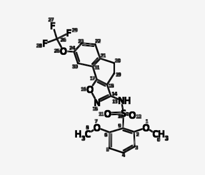 COc1cccc(OC)c1S(=O)(=O)Nc1noc2c1CCc1ccc(OC(F)(F)F)cc1-2